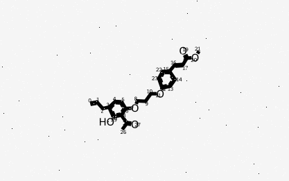 C=CCc1ccc(OCCCOc2ccc(/C=C/C(=O)OC)cc2)c(C(C)=O)c1O